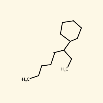 [CH2]CCC[CH]C(CC)C1CCCCC1